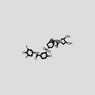 C[C@H]1CC2C[C@@H](S(=O)(=O)c3cc(C(=O)Nc4cc(F)c(F)c(F)c4)ccc3Cl)C[C@H]1[C@H]2NC(=O)N1CC(O)C(O)C1